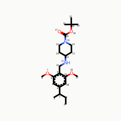 CCC(C)c1cc(OC)c(CNC2CCN(C(=O)OC(C)(C)C)CC2)c(OC)c1